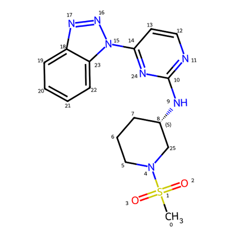 CS(=O)(=O)N1CCC[C@H](Nc2nccc(-n3nnc4ccccc43)n2)C1